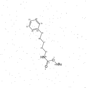 CCCCOC(=O)NCCCCCc1ccccc1